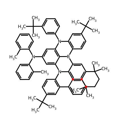 Cc1ccccc1N(c1cc2c3c(c1)N(c1ccc(C(C)(C)C)cc1-c1ccccc1)c1cc4c(cc1B3c1ccc(C(C)(C)C)cc1N2c1cccc(C(C)(C)C)c1)C(C)(C)CCC4(C)C)c1ccccc1C